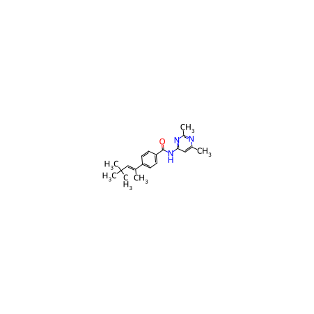 C/C(=C\C(C)(C)C)c1ccc(C(=O)Nc2cc(C)nc(C)n2)cc1